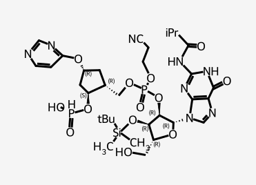 CC(C)C(=O)Nc1nc2c(ncn2[C@@H]2O[C@H](CO)[C@@H](O[Si](C)(C)C(C)(C)C)[C@H]2OP(=O)(OCCC#N)OC[C@H]2C[C@@H](Oc3ccncn3)C[C@@H]2O[PH](=O)O)c(=O)[nH]1